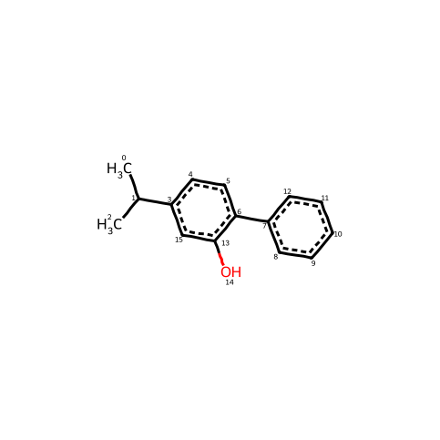 CC(C)c1ccc(-c2ccccc2)c(O)c1